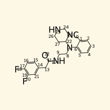 N#Cc1ccccc1N(CCNC(=O)Cc1ccc(F)c(F)c1)C1CCNCC1